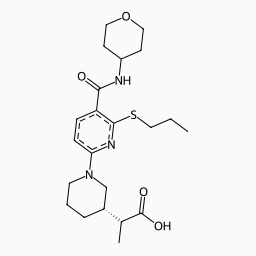 CCCSc1nc(N2CCC[C@@H](C(C)C(=O)O)C2)ccc1C(=O)NC1CCOCC1